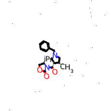 CC(C)[C@H]1COC(=O)N1C(=O)[C@@H]1CN(Cc2ccccc2)C[C@@H]1C